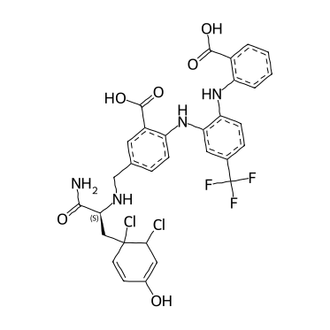 NC(=O)[C@H](CC1(Cl)C=CC(O)=CC1Cl)NCc1ccc(Nc2cc(C(F)(F)F)ccc2Nc2ccccc2C(=O)O)c(C(=O)O)c1